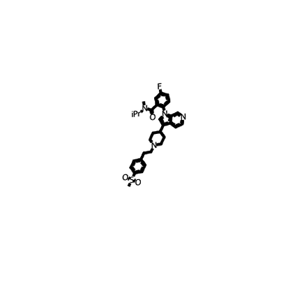 CC(C)N(C)C(=O)c1cc(F)ccc1-n1cc(C2CCN(CCc3ccc(S(C)(=O)=O)cc3)CC2)c2ccncc21